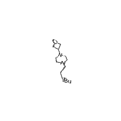 CCC(C)CCN1CCN(C2COC2)CC1